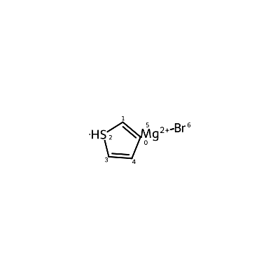 C1=C[SH]C=C1.[Mg+2][Br]